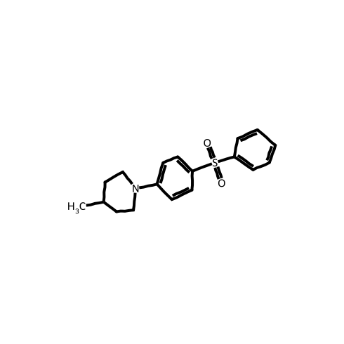 CC1CCN(c2ccc(S(=O)(=O)c3ccccc3)cc2)CC1